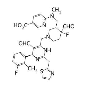 Cc1c(F)cccc1[C@@H]1N=C(Cc2nccs2)NC(CN2CCC(F)(C=O)C(CN(C)c3ccc(C(=O)O)cn3)C2)=C1C=O